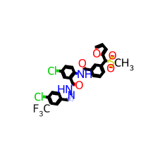 CS(=O)(=O)C(c1cccc(C(=O)Nc2ccc(Cl)cc2C(=O)N/N=C\c2ccc(Cl)c(C(F)(F)F)c2)c1)c1ccco1